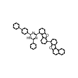 c1ccc(C2=NC(c3cccc4oc5c(-c6cccc7c6oc6ccc8ccccc8c67)cccc5c34)=NC(c3ccc(-c4ccccc4)cc3)N2)cc1